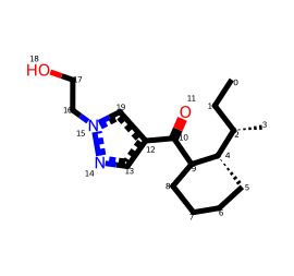 CC[C@H](C)[C@@H]1CCCCC1C(=O)c1cnn(CCO)c1